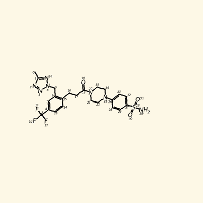 Cc1nnn(Cc2cc(C(F)(F)F)ccc2CCC(=O)N2CCN(c3ccc(S(N)(=O)=O)cc3)CC2)n1